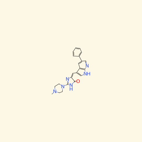 CN1CCN(C2=NC(=Cc3c[nH]c4ncc(-c5ccccc5)cc34)C(=O)N2)CC1